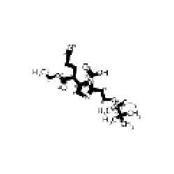 CCOC(=O)C(CCC#N)c1cnc(CCO[Si](C)(C)C(C)(C)C)n1C(=O)O